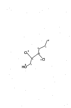 CCCC(Cl)C(Cl)CO